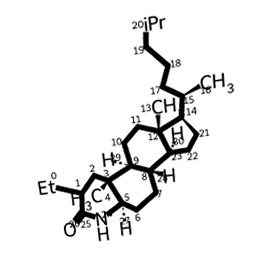 CCC1C[C@@]2(C)[C@@H](CC[C@@H]3[C@@H]2CC[C@]2(C)[C@@H]([C@H](C)CCCC(C)C)CC[C@@H]32)NC1=O